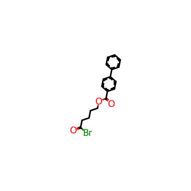 O=C(Br)CCCCOC(=O)c1ccc(-c2ccccc2)cc1